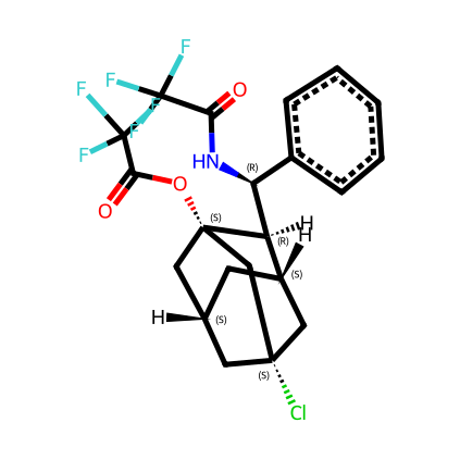 O=C(N[C@@H](c1ccccc1)[C@H]1[C@H]2C[C@@H]3C[C@](Cl)(C2)C[C@@]1(OC(=O)C(F)(F)F)C3)C(F)(F)F